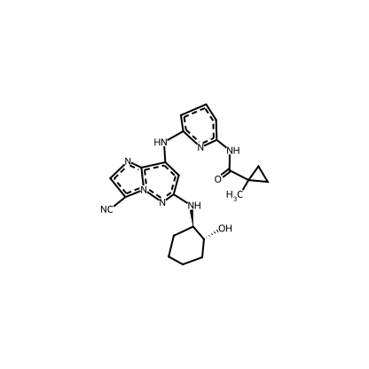 CC1(C(=O)Nc2cccc(Nc3cc(N[C@@H]4CCCC[C@H]4O)nn4c(C#N)cnc34)n2)CC1